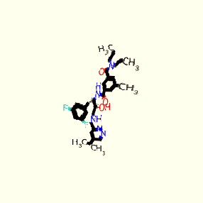 CCCN(CCC)C(=O)c1cc(C)cc(C(=O)N[C@@H](Cc2cc(F)cc(F)c2)[C@H](O)CNCc2cc(C(C)C)cnn2)c1